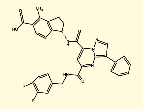 Cc1c(C(=O)O)ccc2c1CC[C@@H]2NC(=O)c1cc(C(=O)NCc2ccc(F)c(F)c2)nc2c(-c3ccccc3)cnn12